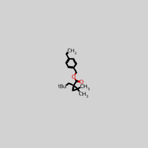 C=Cc1ccc(COC(=O)C2(CC(C)(C)C)CC2(C)C)cc1